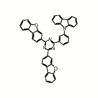 c1cc(-c2nc(-c3ccc4c(c3)oc3ccccc34)nc(-c3ccc4c(c3)oc3ccccc34)n2)cc(-n2c3ccccc3c3ccccc32)c1